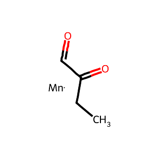 CCC(=O)C=O.[Mn]